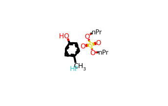 CCCOS(=O)(=O)OCCC.Cc1ccc(O)cc1.F